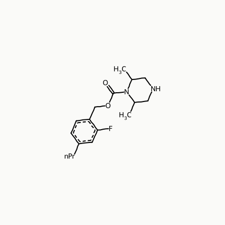 CCCc1ccc(COC(=O)N2C(C)CNCC2C)c(F)c1